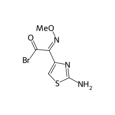 CO/N=C(\C(=O)Br)c1csc(N)n1